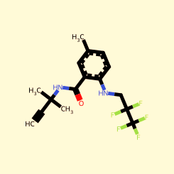 C#CC(C)(C)NC(=O)c1cc(C)ccc1NCC(F)(F)C(F)(F)F